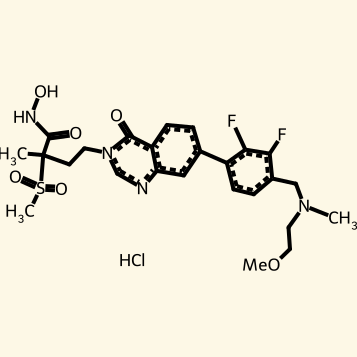 COCCN(C)Cc1ccc(-c2ccc3c(=O)n(CCC(C)(C(=O)NO)S(C)(=O)=O)cnc3c2)c(F)c1F.Cl